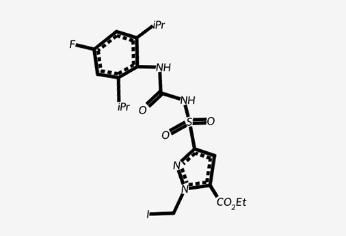 CCOC(=O)c1cc(S(=O)(=O)NC(=O)Nc2c(C(C)C)cc(F)cc2C(C)C)nn1CI